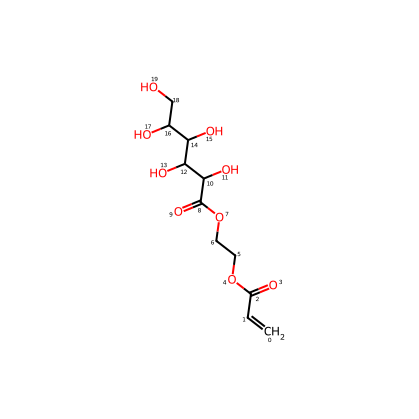 C=CC(=O)OCCOC(=O)C(O)C(O)C(O)C(O)CO